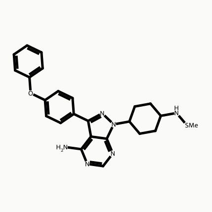 CSNC1CCC(n2nc(-c3ccc(Oc4ccccc4)cc3)c3c(N)ncnc32)CC1